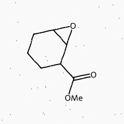 COC(=O)C1CCCC2OC21